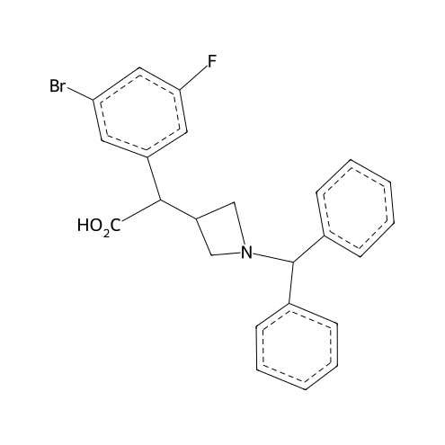 O=C(O)C(c1cc(F)cc(Br)c1)C1CN(C(c2ccccc2)c2ccccc2)C1